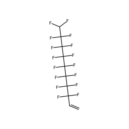 C=CC(F)(F)C(F)(F)C(F)(F)C(F)(F)C(F)(F)C(F)(F)C(F)(F)C(F)F